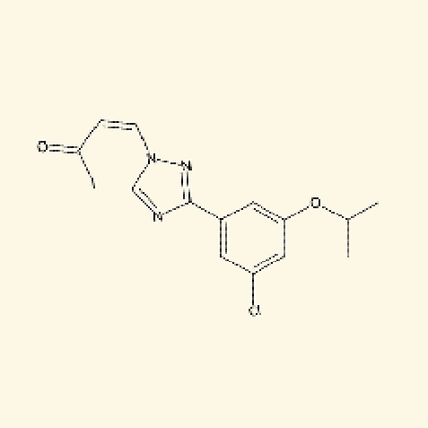 CC(C)Oc1cc(Cl)cc(-c2ncn(/C=C\C(=O)I)n2)c1